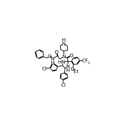 CCOc1cc(C(F)(F)F)ccc1C1(C(=O)N(CC(=O)NOCc2ccccc2)C2CCNCC2)NC(c2ccc(Cl)cc2)C(c2ccc(Cl)cc2)N1